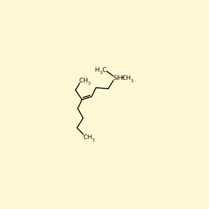 CCCCC(=CCC[SiH](C)C)CC